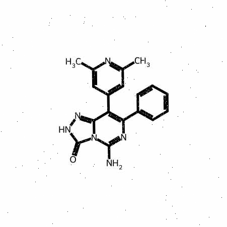 Cc1cc(-c2c(-c3ccccc3)nc(N)n3c(=O)[nH]nc23)cc(C)n1